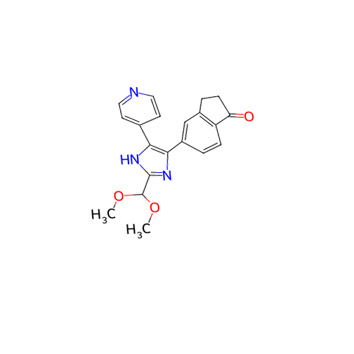 COC(OC)c1nc(-c2ccc3c(c2)CCC3=O)c(-c2ccncc2)[nH]1